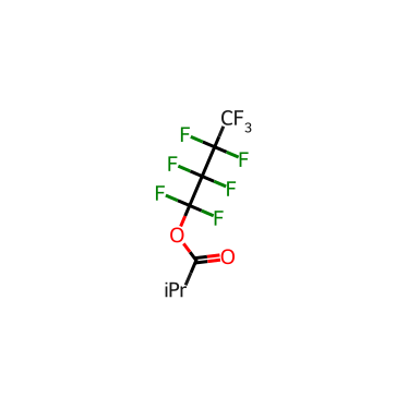 CC(C)C(=O)OC(F)(F)C(F)(F)C(F)(F)C(F)(F)F